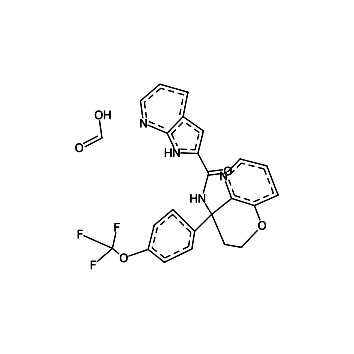 O=C(NC1(c2ccc(OC(F)(F)F)cc2)CCOc2cccnc21)c1cc2cccnc2[nH]1.O=CO